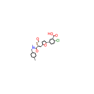 Cc1ccc(CN(C)C(=O)/C(=C/c2ccc(-c3ccc(Cl)c(C(=O)O)c3)o2)SC=O)cc1